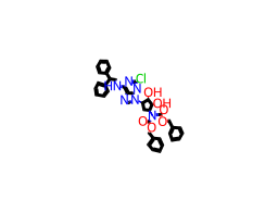 O=C(OCc1ccccc1)N(C(=O)OCc1ccccc1)[C@H]1C[C@@H](n2cnc3c(NCC(c4ccccc4)c4ccccc4)nc(Cl)nc32)[C@H](O)[C@@H]1O